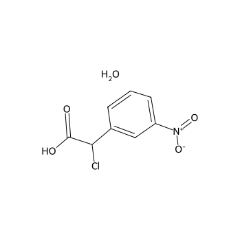 O.O=C(O)C(Cl)c1cccc([N+](=O)[O-])c1